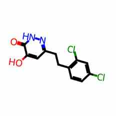 O=c1[nH]nc(CCc2ccc(Cl)cc2Cl)cc1O